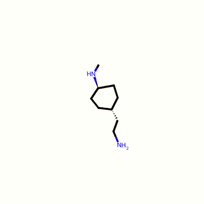 CN[C@H]1CC[C@H](CCN)CC1